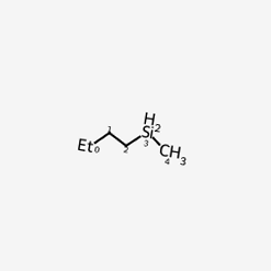 [CH2]CCC[SiH2]C